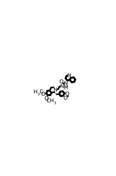 COc1cc2c(cc1OC)[C@@H](Cc1ccc3c(c1)OCO3)N(CCNC(=O)Nc1ccnc3ccccc13)CC2